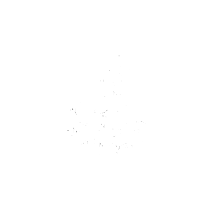 CN(C(=O)c1nn([C@@H]2CCCN(C(=O)OC(C)(C)C)C2)c2ccnc(N)c12)c1nc2ccc(Br)cc2o1